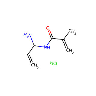 C=CC(N)NC(=O)C(=C)C.Cl